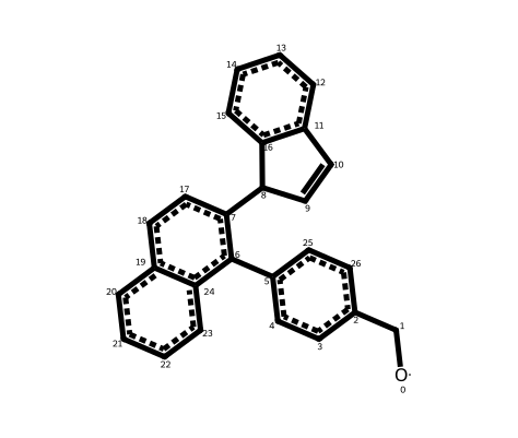 [O]Cc1ccc(-c2c(C3C=Cc4ccccc43)ccc3ccccc23)cc1